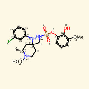 COc1cccc(OS(=O)(=O)NC[C@@]2(Nc3cccc(F)c3)CCN(C(=O)O)[C@@H](C)C2)c1O